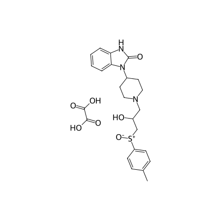 Cc1ccc([S+]([O-])CC(O)CN2CCC(n3c(=O)[nH]c4ccccc43)CC2)cc1.O=C(O)C(=O)O